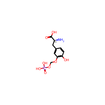 N[C@@H](Cc1ccc(O)c(OCOP(=O)(O)O)c1)C(=O)O